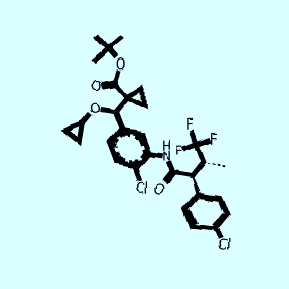 C[C@H]([C@H](C(=O)Nc1cc(C(OC2CC2)C2(C(=O)OC(C)(C)C)CC2)ccc1Cl)C1C=CC(Cl)=CC1)C(F)(F)F